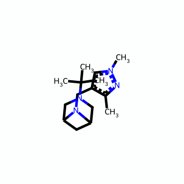 Cc1nn(C)cc1CN1C2CC1CN(C(C)(C)C)C2